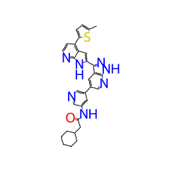 Cc1ccc(-c2ccnc3[nH]c(-c4n[nH]c5ncc(-c6cncc(NC(=O)CC7CCCCC7)c6)cc45)cc23)s1